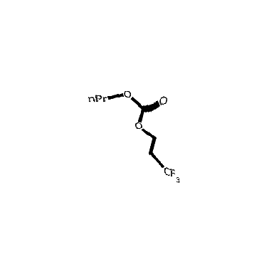 CCCOC(=O)OCCC(F)(F)F